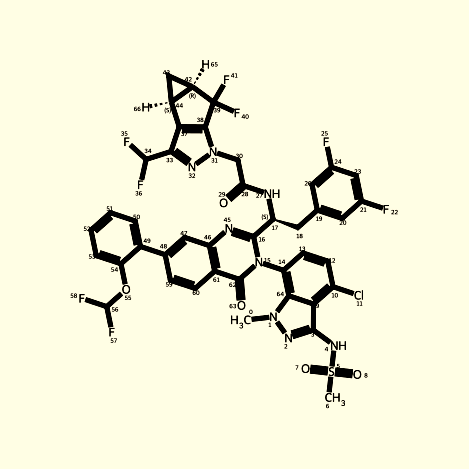 Cn1nc(NS(C)(=O)=O)c2c(Cl)ccc(-n3c([C@H](Cc4cc(F)cc(F)c4)NC(=O)Cn4nc(C(F)F)c5c4C(F)(F)[C@@H]4C[C@H]54)nc4cc(-c5ccccc5OC(F)F)ccc4c3=O)c21